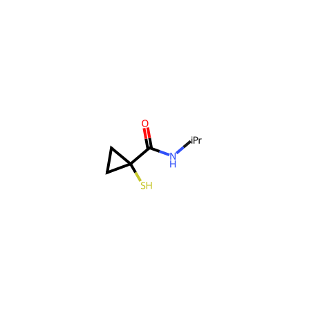 CC(C)NC(=O)C1(S)CC1